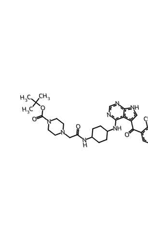 Cc1ccccc1C(=O)c1c[nH]c2ncnc(NC3CCC(NC(=O)CN4CCN(C(=O)OC(C)(C)C)CC4)CC3)c12